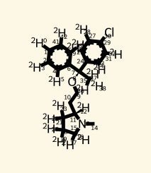 [2H]c1c([2H])c([2H])c([C@@](OCC[C@]2([2H])N(C)C([2H])([2H])C([2H])([2H])C2([2H])[2H])(c2c([2H])c([2H])c(Cl)c([2H])c2[2H])C([2H])([2H])[2H])c([2H])c1[2H]